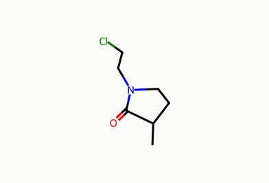 CC1CCN(CCCl)C1=O